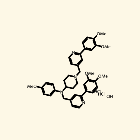 COc1ccc(N(Cc2ccnc(-c3ccc(OC)c(OC)c3)c2)C2CCN(Cc3ccnc(-c4ccc(OC)c(OC)c4)c3)CC2)cc1.Cl.Cl.Cl